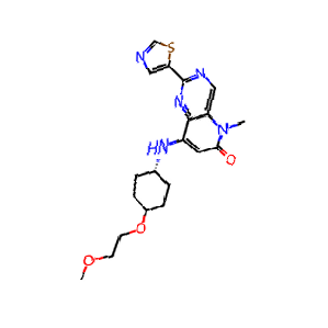 COCCO[C@H]1CC[C@H](Nc2cc(=O)n(C)c3cnc(-c4cncs4)nc23)CC1